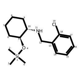 C[Si](C)(C)O[C@H]1CCCC[C@@H]1NCc1ccccc1Cl